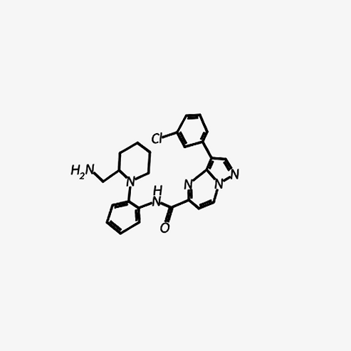 NCC1CCCCN1c1ccccc1NC(=O)c1ccn2ncc(-c3cccc(Cl)c3)c2n1